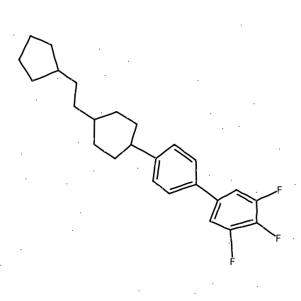 Fc1cc(-c2ccc(C3CCC(CCC4CCCC4)CC3)cc2)cc(F)c1F